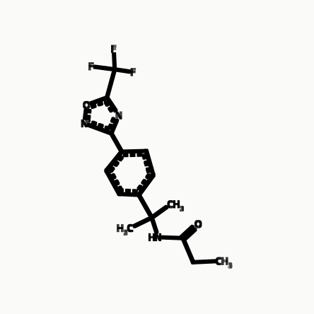 CCC(=O)NC(C)(C)c1ccc(-c2noc(C(F)(F)F)n2)cc1